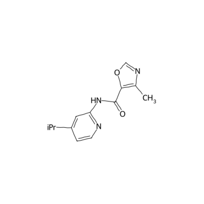 Cc1ncoc1C(=O)Nc1cc(C(C)C)ccn1